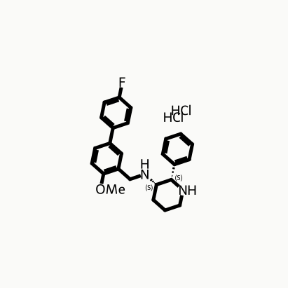 COc1ccc(-c2ccc(F)cc2)cc1CN[C@H]1CCCN[C@H]1c1ccccc1.Cl.Cl